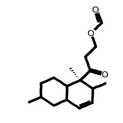 CC1CCC2C(C=CC(C)[C@]2(C)C(=O)CCOC=O)C1